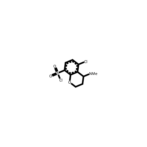 CNC1CCOc2c(S(=O)(=O)Cl)ccc(Cl)c21